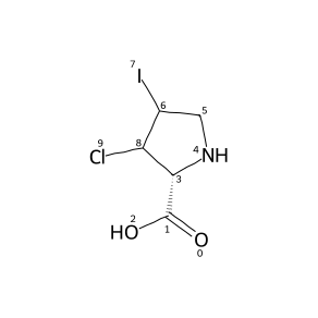 O=C(O)[C@H]1NCC(I)C1Cl